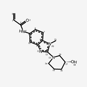 C=CC(=O)Nc1ccc2c(c1)nc(N1CCC[C@@H](O)C1)n2C